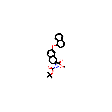 COC(=O)C1(NC(=O)OC(C)(C)C)CCc2ccc(Oc3cccc4ccccc34)cc2C1